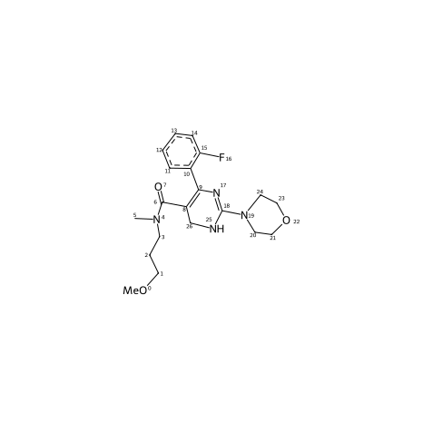 COCCCN(C)C(=O)C1=C(c2ccccc2F)N=C(N2CCOCC2)NC1